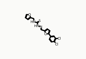 S=C(NCc1ccco1)NN=Cc1ccc(-c2ccc(Cl)c(Cl)c2)o1